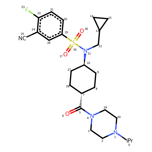 CC(C)N1CCN(C(=O)[C@H]2CC[C@H](N(CC3CC3)S(=O)(=O)c3ccc(F)c(C#N)c3)CC2)CC1